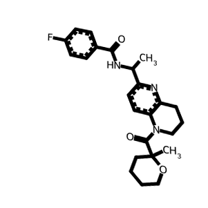 CC(NC(=O)c1ccc(F)cc1)c1ccc2c(n1)CCCN2C(=O)C1(C)CCCCO1